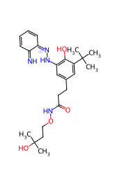 CC(C)(O)CCONC(=O)CCc1cc(N/N=C2/C=CC=CC2=N)c(O)c(C(C)(C)C)c1